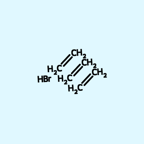 Br.C=C.C=C.C=C